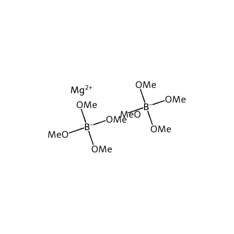 CO[B-](OC)(OC)OC.CO[B-](OC)(OC)OC.[Mg+2]